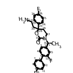 C[C@@H](c1ccc(-c2ccc(F)cc2)c(F)c1)N1CCC(CCN)(c2ccc(F)cc2)OC1=O